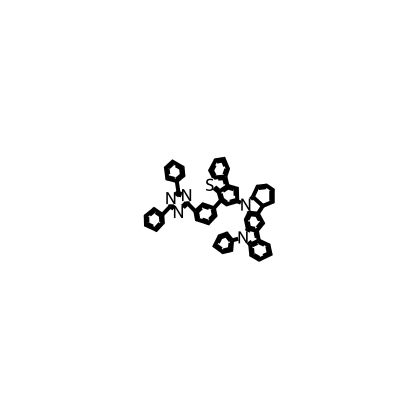 C1=CC2c3cc4c5ccccc5n(-c5ccccc5)c4cc3N(c3cc(-c4cccc(-c5nc(-c6ccccc6)nc(-c6ccccc6)n5)c4)c4sc5ccccc5c4c3)C2C=C1